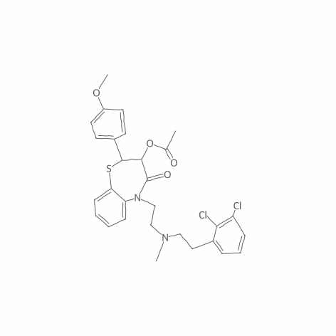 COc1ccc(C2Sc3ccccc3N(CCN(C)CCc3cccc(Cl)c3Cl)C(=O)C2OC(C)=O)cc1